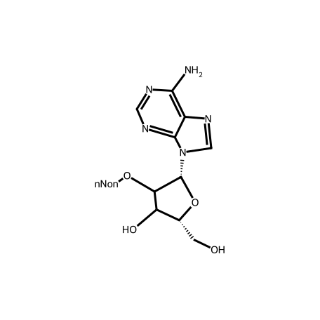 CCCCCCCCCOC1C(O)[C@@H](CO)O[C@H]1n1cnc2c(N)ncnc21